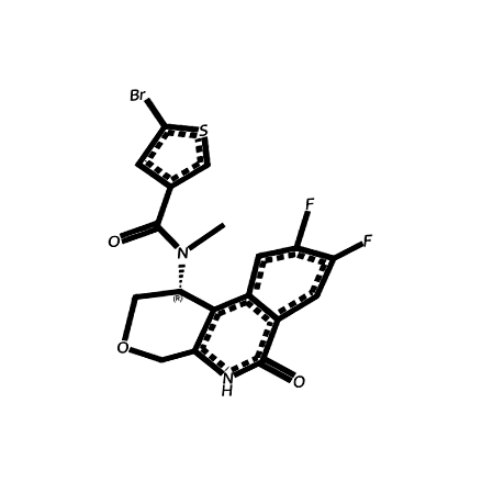 CN(C(=O)c1csc(Br)c1)[C@H]1COCc2[nH]c(=O)c3cc(F)c(F)cc3c21